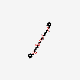 O=C(CCCCC(=O)OCc1ccccc1)OCCOCCOC(=O)CCCCC(=O)OCc1ccccc1